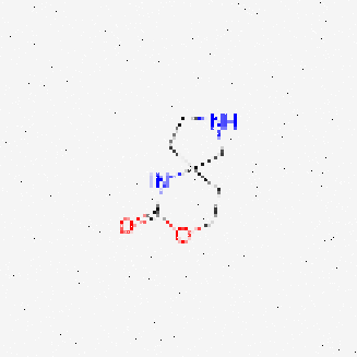 O=C1NC2(CCNC2)CCO1